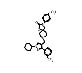 O=C(O)c1ccc(N2CC3(CCN(Cc4cn(C5CCCCC5)nc4-c4cccc(C(F)(F)F)c4)CC3)OC2=O)cc1